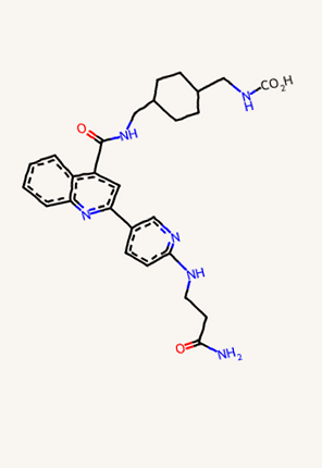 NC(=O)CCNc1ccc(-c2cc(C(=O)NCC3CCC(CNC(=O)O)CC3)c3ccccc3n2)cn1